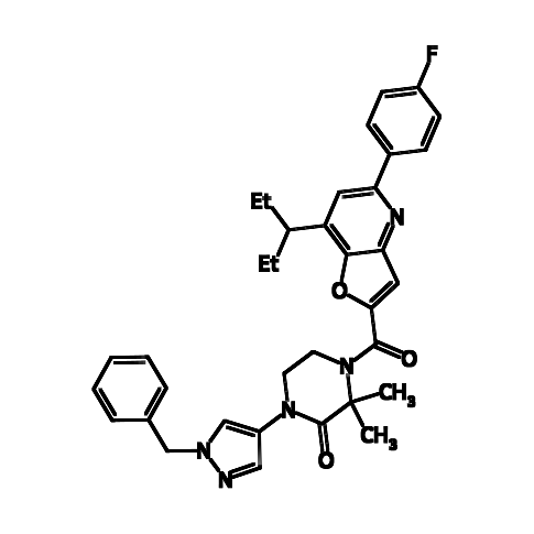 CCC(CC)c1cc(-c2ccc(F)cc2)nc2cc(C(=O)N3CCN(c4cnn(Cc5ccccc5)c4)C(=O)C3(C)C)oc12